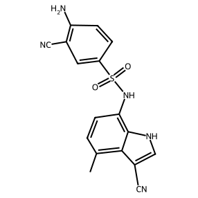 Cc1ccc(NS(=O)(=O)c2ccc(N)c(C#N)c2)c2[nH]cc(C#N)c12